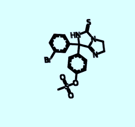 CS(=O)(=O)Oc1ccc(C2(c3cccc(Br)c3)NC(=S)N3CCN=C32)cc1